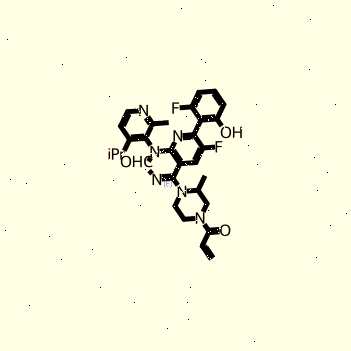 C=CC(=O)N1CCN(/C(=N/C)c2cc(F)c(-c3c(O)cccc3F)nc2N(C=O)c2c(C(C)C)ccnc2C)C(C)C1